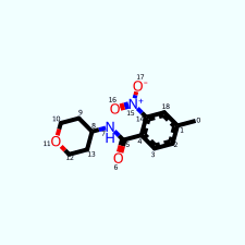 Cc1ccc(C(=O)NC2CCOCC2)c([N+](=O)[O-])c1